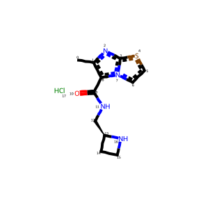 Cc1nc2sccn2c1C(=O)NC[C@@H]1CCN1.Cl